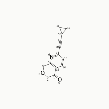 O=C1COCc2nc(C#CC3CC3)ccc21